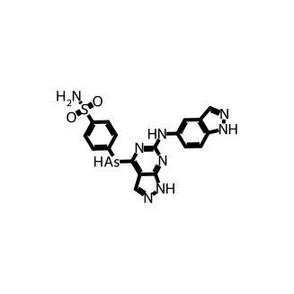 NS(=O)(=O)c1ccc([AsH]c2nc(Nc3ccc4[nH]ncc4c3)nc3[nH]ncc23)cc1